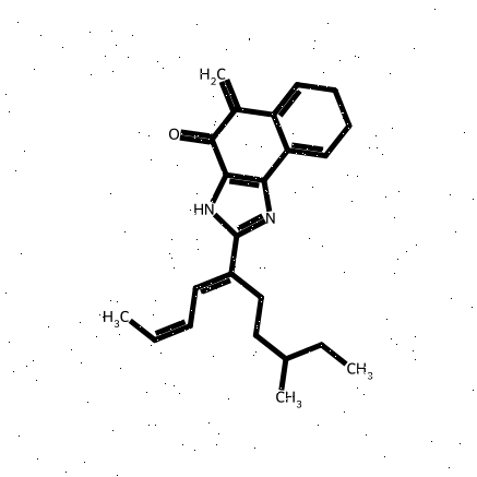 C=C1C(=O)c2[nH]c(/C(=C/C=C\C)CCC(C)CC)nc2C2=CCCC=C12